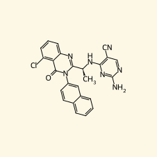 C[C@H](Nc1nc(N)ncc1C#N)c1nc2cccc(Cl)c2c(=O)n1-c1ccc2ccccc2c1